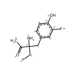 CC(=O)C(N)(CF)Cc1ccc(O)c(F)c1